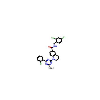 CNc1nc(-c2ccccc2F)nc(N2CCCc3cc(C(=O)NCc4ccc(Cl)cc4Cl)ccc32)n1